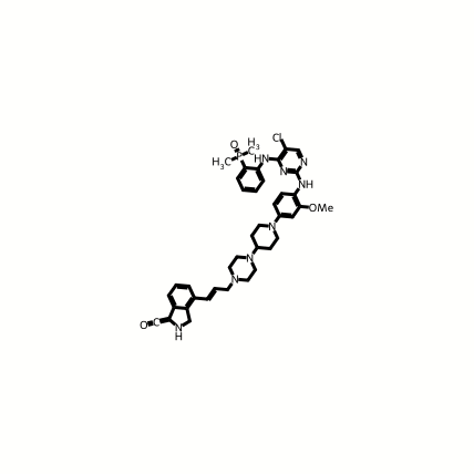 COc1cc(N2CCC(N3CCN(CC=Cc4cccc5c4CNC5=C=O)CC3)CC2)ccc1Nc1ncc(Cl)c(Nc2ccccc2P(C)(C)=O)n1